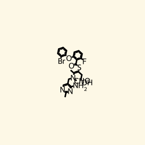 CC(=C(CCO)SC(=O)c1c(F)cccc1Oc1ccccc1Br)N(C=O)Cc1cnc(C)nc1N